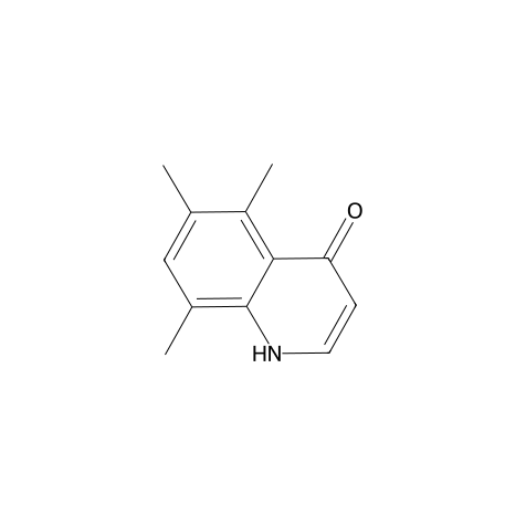 Cc1cc(C)c2[nH]ccc(=O)c2c1C